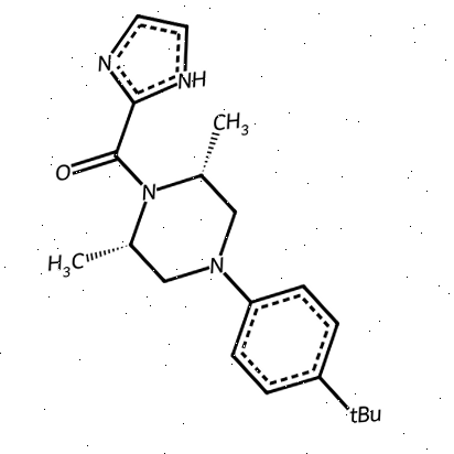 C[C@@H]1CN(c2ccc(C(C)(C)C)cc2)C[C@H](C)N1C(=O)c1ncc[nH]1